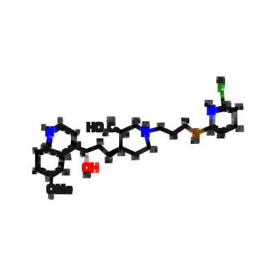 COc1ccc2nccc([C@@H](O)CC[C@@H]3CCN(CCCSc4cccc(F)n4)C[C@@H]3C(=O)O)c2c1